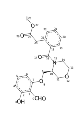 O=Cc1c(O)cccc1OC[C@@H]1COCCN1C(=O)c1ccccc1CC(=O)OI